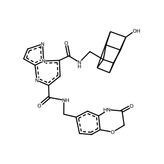 O=C1COc2ccc(CNC(=O)c3cc(C(=O)NCC45C6C7C4C4C5C6C74O)n4nccc4n3)cc2N1